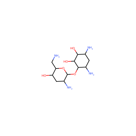 NCC1OC(OC2C(N)CC(N)C(O)C2O)C(N)CC1O